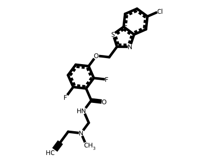 C#CCN(C)CNC(=O)c1c(F)ccc(OCc2nc3cc(Cl)ccc3s2)c1F